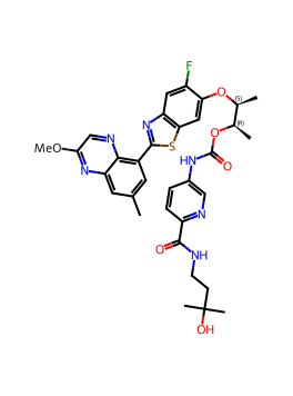 COc1cnc2c(-c3nc4cc(F)c(O[C@@H](C)[C@@H](C)OC(=O)Nc5ccc(C(=O)NCCC(C)(C)O)nc5)cc4s3)cc(C)cc2n1